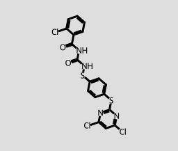 O=C(NSc1ccc(Sc2nc(Cl)cc(Cl)n2)cc1)NC(=O)c1ccccc1Cl